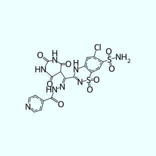 NS(=O)(=O)c1cc2c(cc1Cl)NC(/C(=N/NC(=O)c1ccncc1)C1C(=O)NC(=O)NC1=O)=NS2(=O)=O